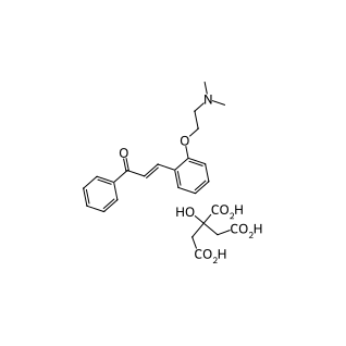 CN(C)CCOc1ccccc1C=CC(=O)c1ccccc1.O=C(O)CC(O)(CC(=O)O)C(=O)O